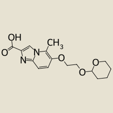 Cc1c(OCCOC2CCCCO2)ccc2nc(C(=O)O)cn12